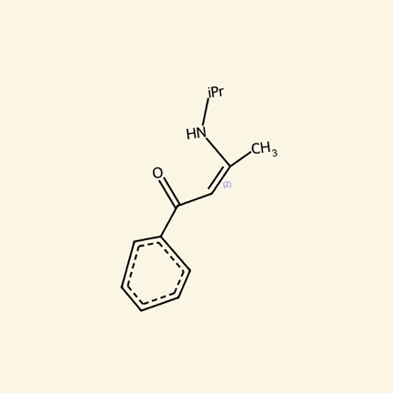 C/C(=C/C(=O)c1ccccc1)NC(C)C